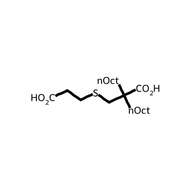 CCCCCCCCC(CCCCCCCC)(CSCCC(=O)O)C(=O)O